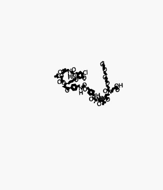 COCCOCCOCCOCCC(=O)N(CCC(=O)O)CCC(=O)N[C@H](C(=O)N[C@@H](C)C(=O)Nc1ccc(COC(=O)NCc2ccc([C@H]3O[C@@H]3[C@@H](C)[C@@H]3C/C=C/C(=O)N[C@H](Cc4ccc(OC)c(Cl)c4)C(=O)NCC(C)(C)C(=O)O[C@@H](CC(C)C)C(=O)O3)cc2)cc1)C(C)C